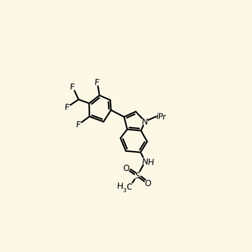 CC(C)n1cc(-c2cc(F)c(C(F)F)c(F)c2)c2ccc(NS(C)(=O)=O)cc21